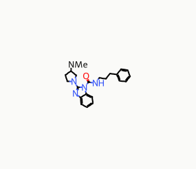 CNC1CCN(c2nc3ccccc3n2C(=O)NCCCc2ccccc2)C1